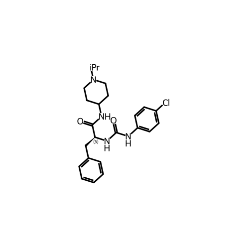 CC(C)N1CCC(NC(=O)[C@H](Cc2ccccc2)NC(=O)Nc2ccc(Cl)cc2)CC1